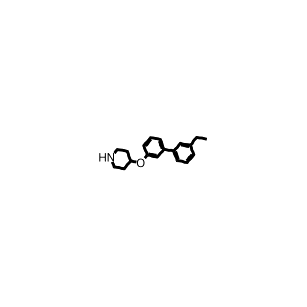 CCc1cccc(-c2cccc(OC3CCNCC3)c2)c1